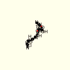 Cc1ncsc1-c1ccc(CNC(=O)[C@@H]2C[C@@H](O)CN2C(=O)[C@@H](NC(=O)COCCNc2ccc(-c3ccc(C(=O)NC4C(C)(C)C(Oc5ccc(C#N)c(Cl)c5)C4(C)C)cc3)cn2)C(C)(C)C)nc1